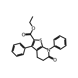 CCOC(=O)c1sc2c(c1-c1ccccc1)CCC(=O)N2c1ccccc1